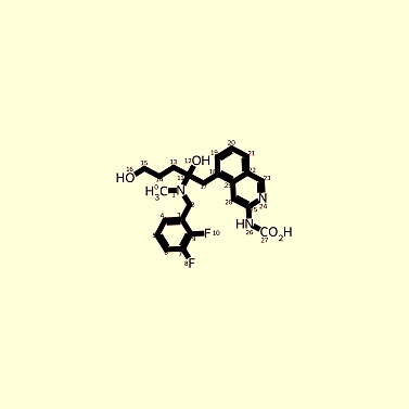 CN(Cc1cccc(F)c1F)C(O)(CCCO)Cc1cccc2cnc(NC(=O)O)cc12